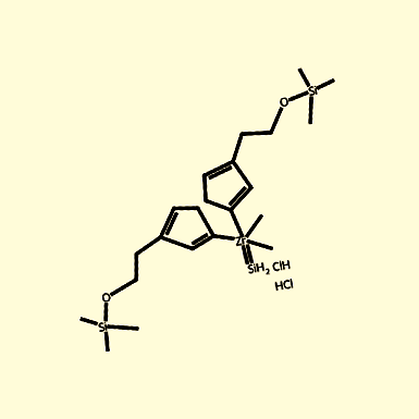 C[Si](C)(C)OCCC1=CC[C]([Zr]([CH3])([CH3])(=[SiH2])[C]2=CC(CCO[Si](C)(C)C)=CC2)=C1.Cl.Cl